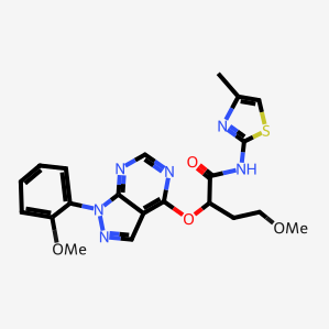 COCCC(Oc1ncnc2c1cnn2-c1ccccc1OC)C(=O)Nc1nc(C)cs1